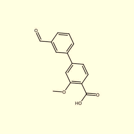 COc1cc(-c2cccc(C=O)c2)ccc1C(=O)O